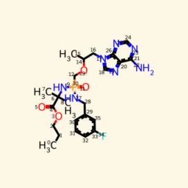 CCCOC(=O)C(C)(C)NP(=O)(COC(C)Cn1cnc2c(N)ncnc21)NCc1cccc(F)c1